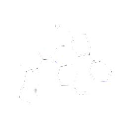 CN[C@H]1CC[C@@H](N(Cc2cc(-c3ccncc3)ccc2OC)C(=O)c2sc3c(c2Cl)=CCCC=3)CC1